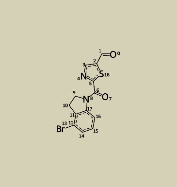 O=Cc1cnc(C(=O)N2CCc3c(Br)cccc32)s1